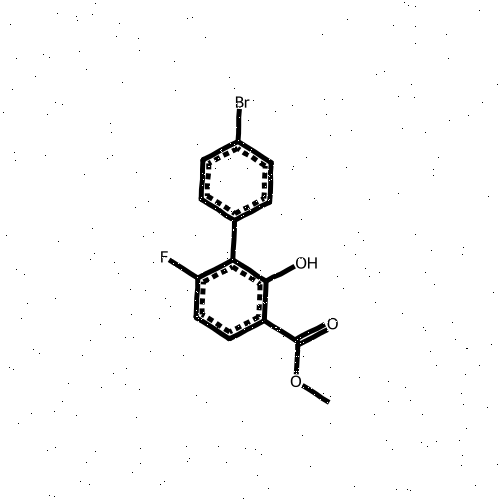 COC(=O)c1ccc(F)c(-c2ccc(Br)cc2)c1O